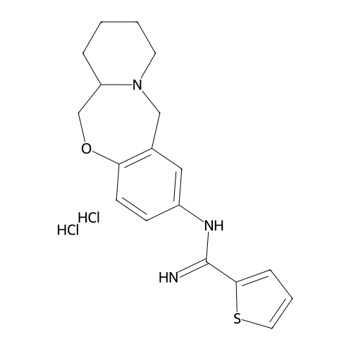 Cl.Cl.N=C(Nc1ccc2c(c1)CN1CCCCC1CO2)c1cccs1